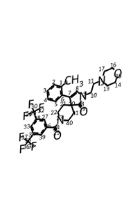 Cc1ccccc1C1=CN(CCN2CCOCC2)C(=O)C12CCN(C(=O)c1cc(C(F)(F)F)cc(C(F)(F)F)c1)CC2